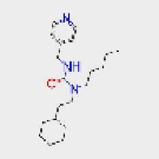 CCCCCN(CCC1CCCCC1)C(=O)NCc1ccncc1